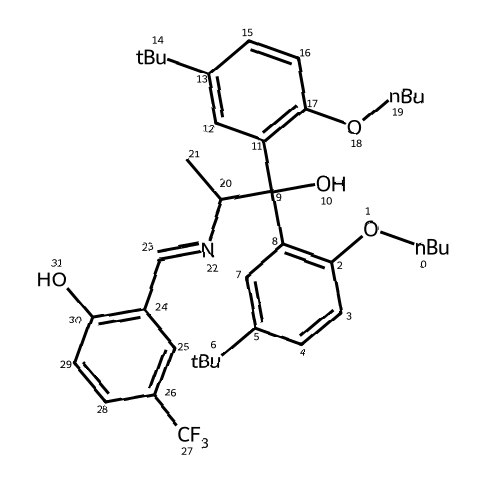 CCCCOc1ccc(C(C)(C)C)cc1C(O)(c1cc(C(C)(C)C)ccc1OCCCC)C(C)N=Cc1cc(C(F)(F)F)ccc1O